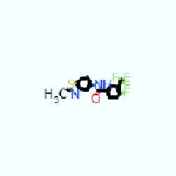 Cc1nc2cc(NC(=O)c3ccc(F)c(C(F)(F)F)c3)ccc2s1